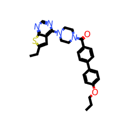 CCCOc1ccc(-c2ccc(C(=O)N3CCN(c4ncnc5sc(CC)cc45)CC3)cc2)cc1